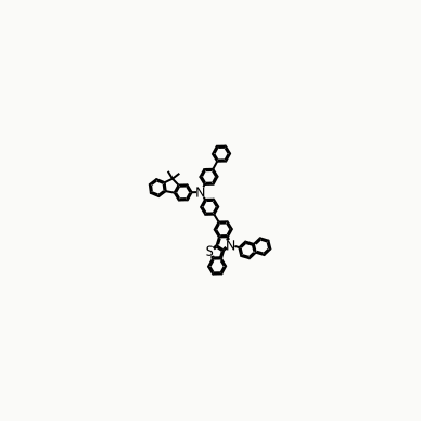 CC1(C)c2ccccc2-c2ccc(N(c3ccc(-c4ccccc4)cc3)c3ccc(-c4ccc5c(c4)c4sc6ccccc6c4n5-c4ccc5ccccc5c4)cc3)cc21